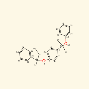 CCC(C)(Oc1ccc(C(C)(C)Oc2ccccc2)cc1)c1ccccc1